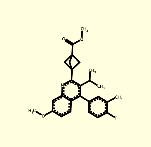 COC(=O)C12CC(c3nc4cc(OC)ccc4c(-c4ccc(F)c(C)c4)c3C(C)C)(C1)C2